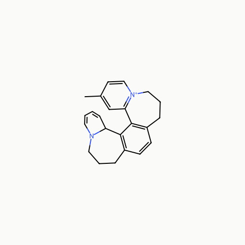 Cc1cc[n+]2c(c1)-c1c(ccc3c1C1C=CC=CN1CCC3)CCC2